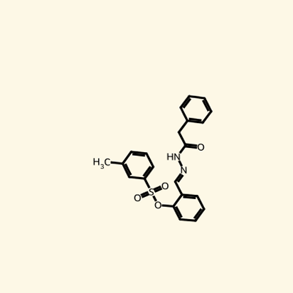 Cc1cccc(S(=O)(=O)Oc2ccccc2C=NNC(=O)Cc2ccccc2)c1